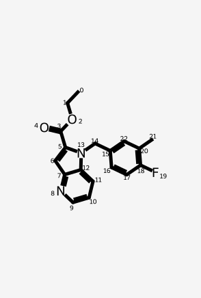 CCOC(=O)c1cc2ncccc2n1Cc1ccc(F)c(C)c1